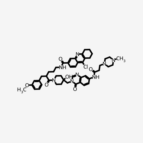 COc1cccc(CC(CCCNC(=O)c2ccc3c(Cl)c4c(nc3c2)CCCC4)C(=O)N2CCC(O)(Cn3cnc4cc(NC(=O)CCN5CCN(C)CC5)ccc4c3=O)CC2)c1